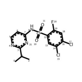 CC(C)c1nccc(NS(=O)(=O)c2cc(Cl)c(Cl)cc2F)n1